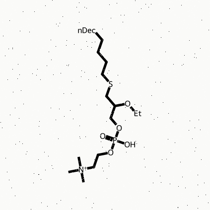 CCCCCCCCCCCCCCSCC(COP(=O)(O)OCC[N+](C)(C)C)OCC